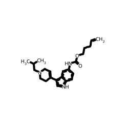 C=CCCCOC(=O)Nc1ccc2[nH]cc(C3=CCN(CC(C)C)CC3)c2c1